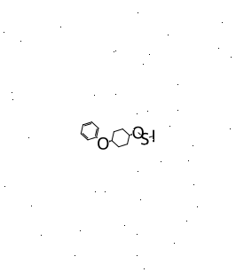 ISO[C@H]1CC[C@@H](Oc2ccccc2)CC1